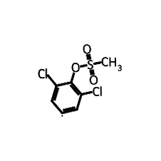 CS(=O)(=O)Oc1c(Cl)c[c]cc1Cl